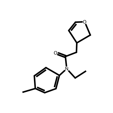 CCN(C(=O)CC1C=COC1)c1ccc(C)cc1